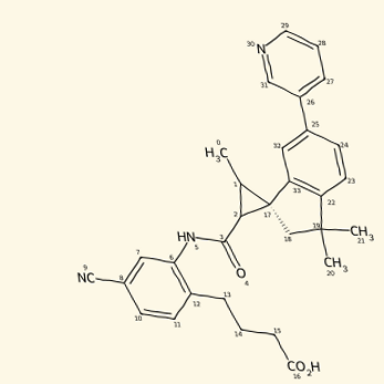 CC1C(C(=O)Nc2cc(C#N)ccc2CCCC(=O)O)[C@@]12CC(C)(C)c1ccc(-c3cccnc3)cc12